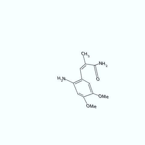 COc1cc(N)c(C=C(C)C(N)=O)cc1OC